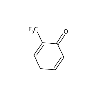 O=C1C=CCC=C1C(F)(F)F